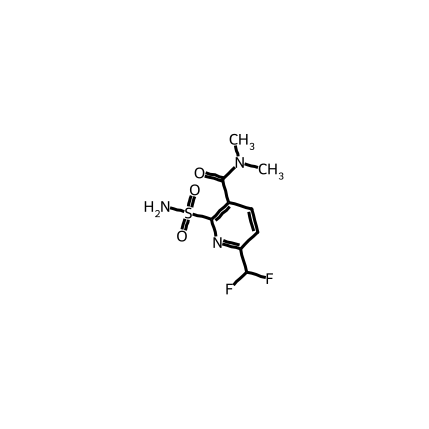 CN(C)C(=O)c1ccc(C(F)F)nc1S(N)(=O)=O